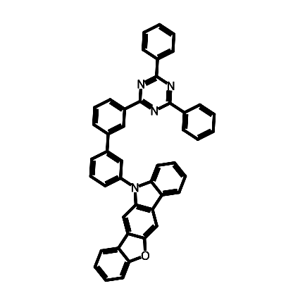 c1ccc(-c2nc(-c3ccccc3)nc(-c3cccc(-c4cccc(-n5c6ccccc6c6cc7oc8ccccc8c7cc65)c4)c3)n2)cc1